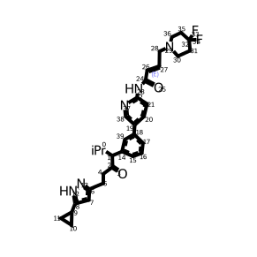 CC(C)C(C(=O)CCc1cc(C2CC2)[nH]n1)c1cccc(-c2ccc(NC(=O)/C=C/CN3CCC(F)(F)CC3)nc2)c1